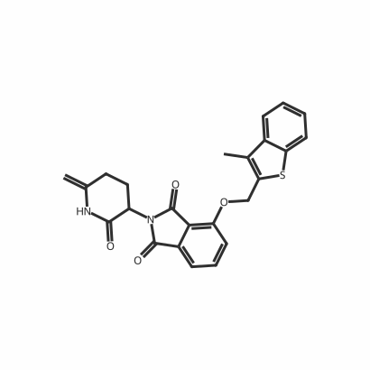 C=C1CCC(N2C(=O)c3cccc(OCc4sc5ccccc5c4C)c3C2=O)C(=O)N1